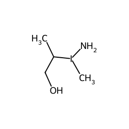 CC(CO)I(C)N